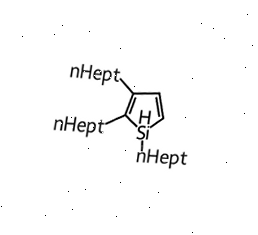 CCCCCCCC1=C(CCCCCCC)[SiH](CCCCCCC)C=C1